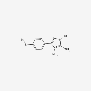 CCOc1ccc(-c2nn(CC)c(N)c2N)cc1